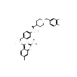 Cc1ccc2c(N[C@@H](C)c3ccc(NC(=O)C4CCN(Cc5ccc(F)c(F)c5)CC4)cc3)nc(N(C)C)nc2c1